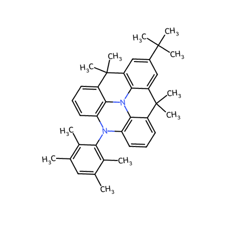 Cc1cc(C)c(C)c(N2c3cccc4c3N3c5c2cccc5C(C)(C)c2cc(C(C)(C)C)cc(c23)C4(C)C)c1C